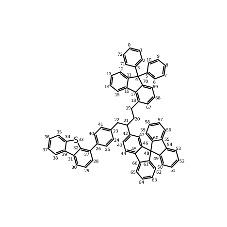 c1ccc(C2(c3ccccc3)c3ccccc3-c3c(CCC(Cc4ccc(-c5cccc6c5sc5ccccc56)cc4)c4ccc5c(c4)C4(c6ccccc6-c6ccccc64)c4ccccc4-5)cccc32)cc1